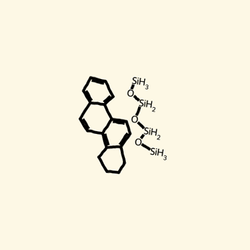 [SiH3]O[SiH2]O[SiH2]O[SiH3].c1ccc2c(c1)ccc1c3c(ccc12)CCCC3